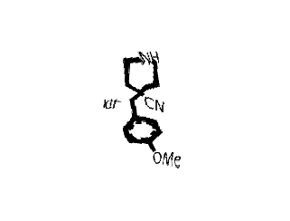 COc1ccc(CC2(C#N)CCNCC2)cc1.[Cl-].[H+]